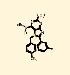 CCCCN(CC)c1nc(C(=O)O)nc2nc(-c3cccc(C)c3)n(Cc3ccc(C(F)(F)F)cc3)c12